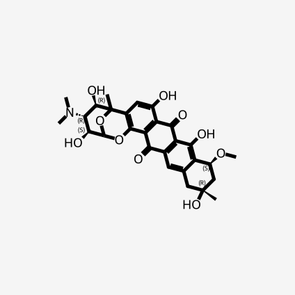 CO[C@H]1C[C@](C)(O)Cc2cc3c(c(O)c21)C(=O)c1c(O)cc2c(c1C3=O)OC1OC2(C)[C@H](O)[C@@H](N(C)C)[C@@H]1O